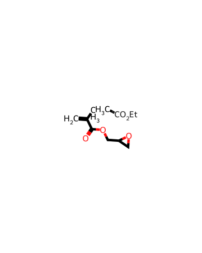 C=C(C)C(=O)OCC1CO1.CCOC(C)=O